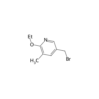 CCOc1ncc(CBr)cc1C